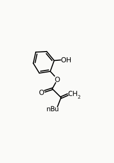 C=C(CCCC)C(=O)Oc1ccccc1O